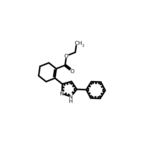 CCOC(=O)C1=C(c2cc(-c3ccccc3)[nH]n2)CCCC1